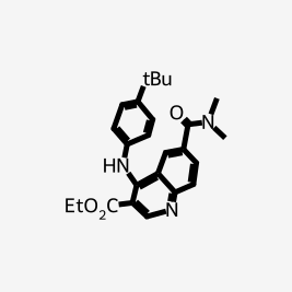 CCOC(=O)c1cnc2ccc(C(=O)N(C)C)cc2c1Nc1ccc(C(C)(C)C)cc1